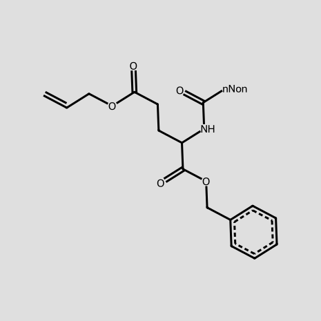 C=CCOC(=O)CCC(NC(=O)CCCCCCCCC)C(=O)OCc1ccccc1